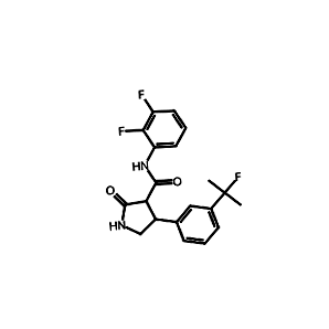 CC(C)(F)c1cccc(C2CNC(=O)C2C(=O)Nc2cccc(F)c2F)c1